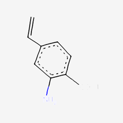 C=Cc1ccc(C(=O)O)c(N)c1